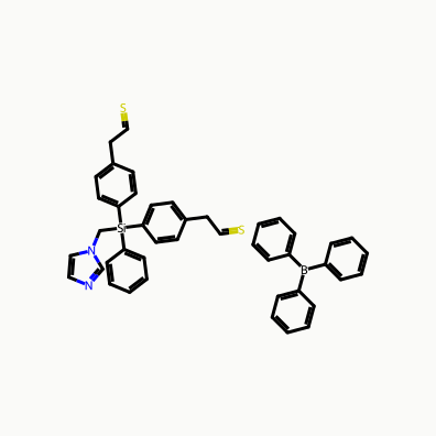 S=CCc1ccc([Si](Cn2ccnc2)(c2ccccc2)c2ccc(CC=S)cc2)cc1.c1ccc(B(c2ccccc2)c2ccccc2)cc1